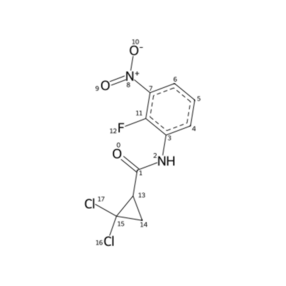 O=C(Nc1cccc([N+](=O)[O-])c1F)C1CC1(Cl)Cl